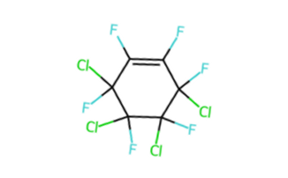 FC1=C(F)C(F)(Cl)C(F)(Cl)C(F)(Cl)C1(F)Cl